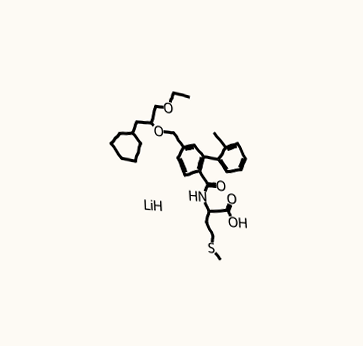 CCOCC(CC1CCCCC1)OCc1ccc(C(=O)NC(CCSC)C(=O)O)c(-c2ccccc2C)c1.[LiH]